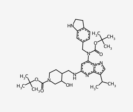 CC(C)c1cnn2c(N(Cc3ccc4c(c3)NCC4)C(=O)OC(C)(C)C)cc(NCC3CCN(C(=O)OC(C)(C)C)CC3O)nc12